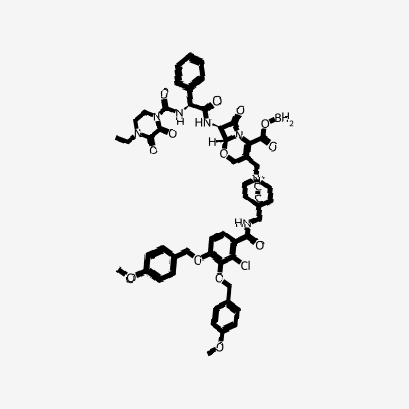 BOC(=O)C1=C(C[N+]23CCC(CNC(=O)c4ccc(OCc5ccc(OC)cc5)c(OCc5ccc(OC)cc5)c4Cl)(CC2)CC3)CO[C@@H]2[C@H](NC(=O)[C@H](NC(=O)N3CCN(CC)C(=O)C3=O)c3ccccc3)C(=O)N12